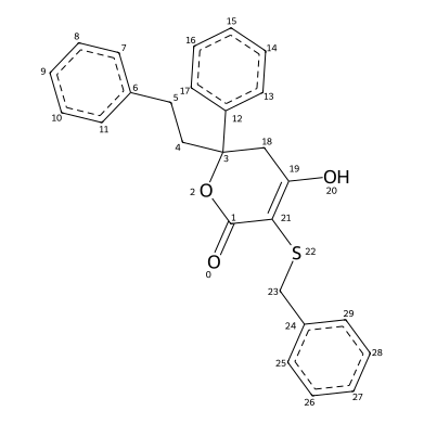 O=C1OC(CCc2ccccc2)(c2ccccc2)CC(O)=C1SCc1ccccc1